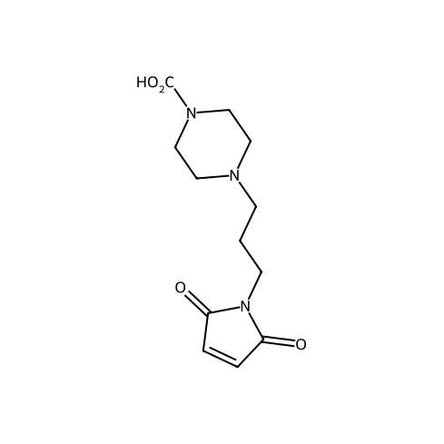 O=C(O)N1CCN(CCCN2C(=O)C=CC2=O)CC1